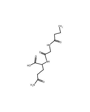 CCCC(=O)NCC(=O)NC(CCC(N)=O)C(=O)O